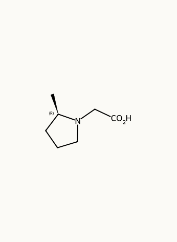 C[C@@H]1CCCN1CC(=O)O